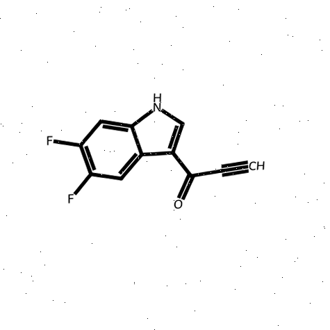 C#CC(=O)c1c[nH]c2cc(F)c(F)cc12